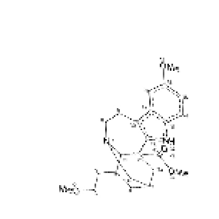 COCCC1CC2CN3CCc4c([nH]c5ccc(OC)cc45)C(C(=O)OC)(C2)C13